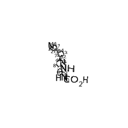 O=C(O)NCC(=O)Nc1cccc(-c2cccc(-c3ccncc3)c2)n1